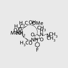 CO[C@H]1/C=C\C=C(/C)C(=O)NC2=C(c3ccc(F)cc3)C(=O)C(NCCN(C)C)=C(C[C@@H](C)C[C@H](OC)[C@H](O)[C@@H](C)/C=C(\C)[C@@H]1OC(N)=O)C2=O